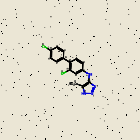 O=C(O)c1[nH]nnc1Nc1ccc(-c2ccc(Cl)cc2)c(Cl)c1